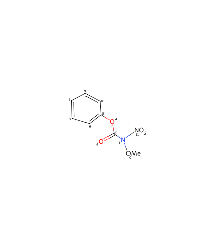 CON(C(=O)Oc1ccccc1)[N+](=O)[O-]